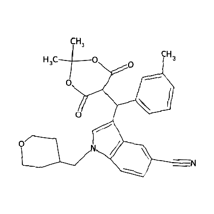 Cc1cccc(C(c2cn(CC3CCOCC3)c3ccc(C#N)cc23)C2C(=O)OC(C)(C)OC2=O)c1